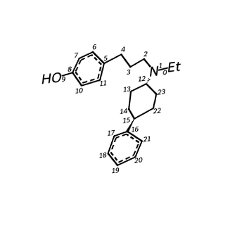 CCN(CCCc1ccc(O)cc1)[C@H]1CC[C@H](c2ccccc2)CC1